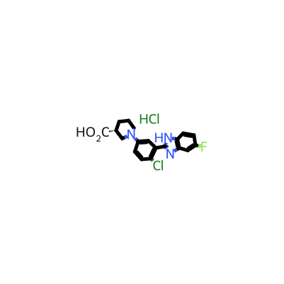 Cl.O=C(O)[C@@H]1CCCN(c2ccc(Cl)c(-c3nc4cc(F)ccc4[nH]3)c2)C1